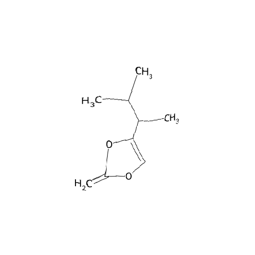 C=C1OC=C(C(C)C(C)C)O1